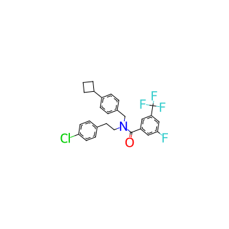 O=C(c1cc(F)cc(C(F)(F)F)c1)N(CCc1ccc(Cl)cc1)Cc1ccc(C2CCC2)cc1